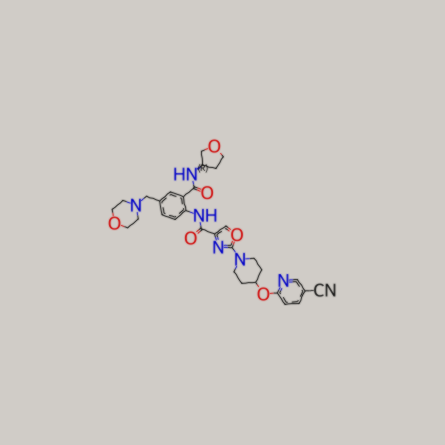 N#Cc1ccc(OC2CCN(c3nc(C(=O)Nc4ccc(CN5CCOCC5)cc4C(=O)N[C@@H]4CCOC4)co3)CC2)nc1